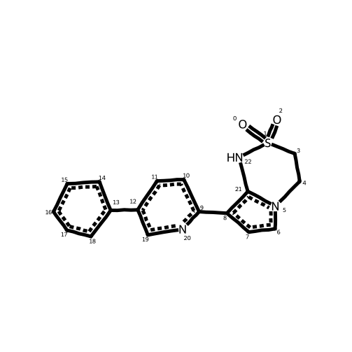 O=S1(=O)CCn2ccc(-c3ccc(-c4ccccc4)cn3)c2N1